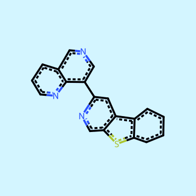 c1cnc2c(-c3cc4c(cn3)sc3ccccc34)cncc2c1